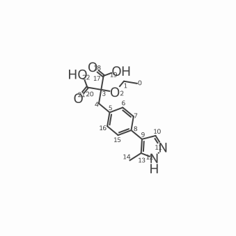 CCOC(Cc1ccc(-c2cn[nH]c2C)cc1)(C(=O)O)C(=O)O